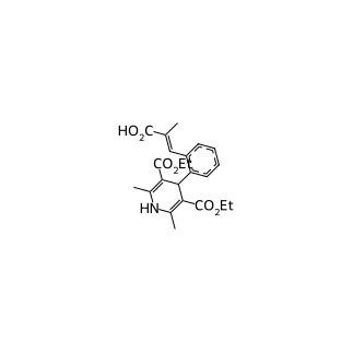 CCOC(=O)C1=C(C)NC(C)=C(C(=O)OCC)C1c1ccccc1/C=C(\C)C(=O)O